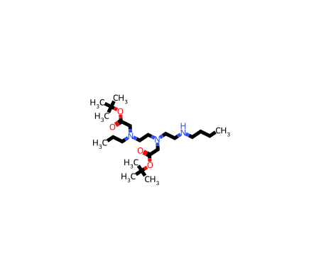 CCCCNCCN(CCN(CCC)CC(=O)OC(C)(C)C)CC(=O)OC(C)(C)C